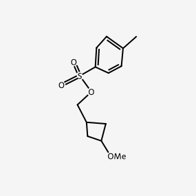 COC1CC(COS(=O)(=O)c2ccc(C)cc2)C1